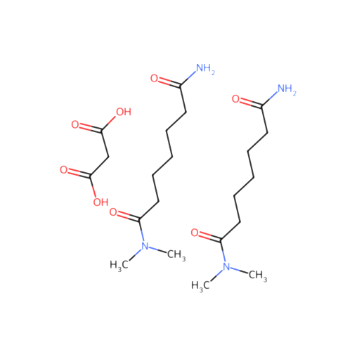 CN(C)C(=O)CCCCCC(N)=O.CN(C)C(=O)CCCCCC(N)=O.O=C(O)CC(=O)O